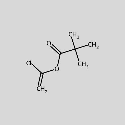 C=C(Cl)OC(=O)C(C)(C)C